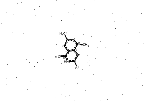 Cc1cc(C)c2cc(Cl)[nH]c(=O)c2c1